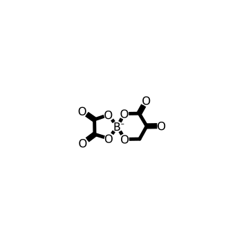 O=C1CO[B-]2(OC1=O)OC(=O)C(=O)O2